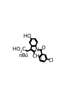 CCCC[C@H](C(=O)O)c1c(C)n(C(=O)c2cccc(Cl)c2)c2ccc(O)cc12